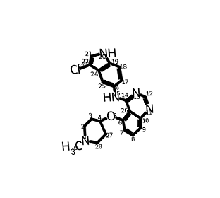 CN1CCC(Oc2cccc3ncnc(Nc4ccc5[nH]cc(Cl)c5c4)c23)CC1